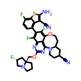 N#Cc1c(N)sc2c(F)ccc(-c3c(Cl)c4c5c(nc(OC[C@@]67CCCN6C[C@H](F)C7)nc5c3F)N3CCC(C#N)CC3CCO4)c12